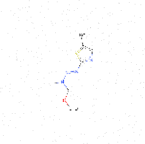 CN(COC=O)/N=N/c1ncc([N+](=O)[O-])s1